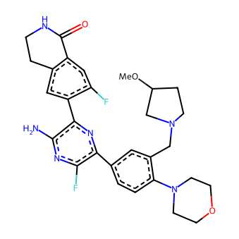 COC1CCN(Cc2cc(-c3nc(-c4cc5c(cc4F)C(=O)NCC5)c(N)nc3F)ccc2N2CCOCC2)C1